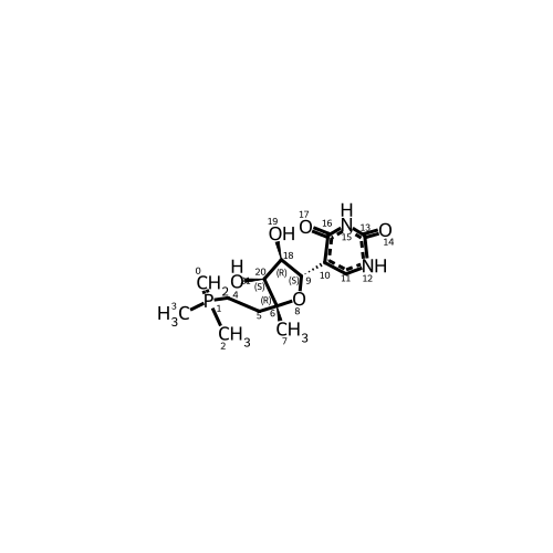 C=P(C)(C)CC[C@@]1(C)O[C@@H](c2c[nH]c(=O)[nH]c2=O)[C@H](O)[C@@H]1O